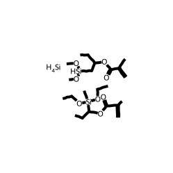 C=C(C)C(=O)OC(CC)C[SiH](OC)OC.C=C(C)C(=O)OC(CC)[Si](C)(OCC)OCC.[SiH4]